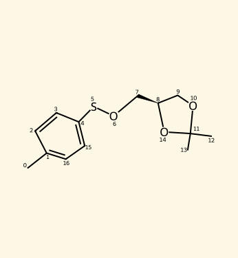 Cc1ccc(SOC[C@H]2COC(C)(C)O2)cc1